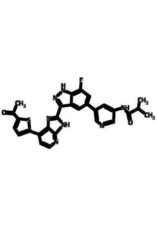 CC(=O)c1ccc(-c2ccnc3[nH]c(-c4n[nH]c5c(F)cc(-c6cncc(NC(=O)C(C)C)c6)cc45)nc23)s1